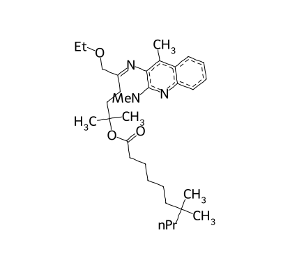 CCCC(C)(C)CCCCCC(=O)OC(C)(C)CC/C(COCC)=N\c1c(NC)nc2ccccc2c1C